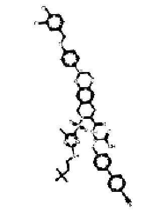 Cc1nc(NCCC(C)(C)C)sc1S(=O)(=O)N1Cc2cc3c(cc2CC1C(=O)N[C@@H](Cc1ccc(-c2ccc(C#N)cc2)cc1)C(=O)O)OC[C@H](c1ccc(OCc2ccc(Cl)c(Cl)c2)cc1)O3